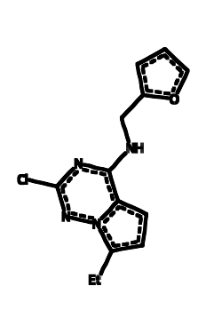 CCc1ccc2c(NCc3ccco3)nc(Cl)nn12